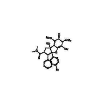 COC1=C2C(=C(O)C(OC)C1=O)OC1(c3ccc(Br)cc3)C(c3ccccc3)C(C(=O)N(C)C)CC21O